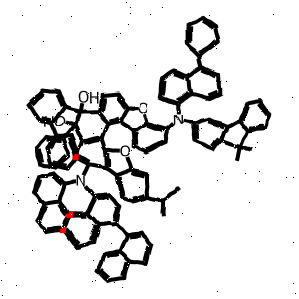 CC(C)c1ccc2c(c1)oc1c3c(cc(N(c4cccc5ccccc45)c4ccc(-c5cccc6ccccc56)c5ccccc45)c12)C(O)(c1ccccc1)C(O)(c1ccccc1-c1ccccc1)c1ccc2oc4c(N(c5ccc6c(c5)-c5ccccc5C6(C)C)c5cccc6c(-c7ccccc7)cccc56)cccc4c2c1-3